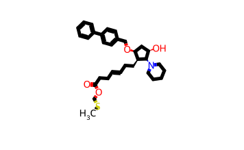 CSCOC(=O)CCC=CCC[C@@H]1[C@@H](N2CCCCC2)[C@@H](O)C[C@@H]1OCc1ccc(-c2ccccc2)cc1